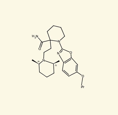 CC(C)Oc1ccc2nc(N3CCCCC3(CCN3[C@H](C)CCC[C@@H]3C)C(N)=O)oc2c1